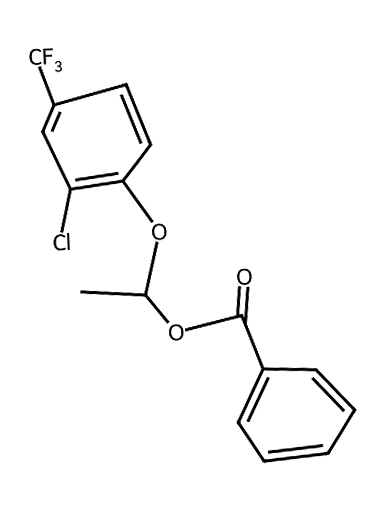 CC(OC(=O)c1ccccc1)Oc1ccc(C(F)(F)F)cc1Cl